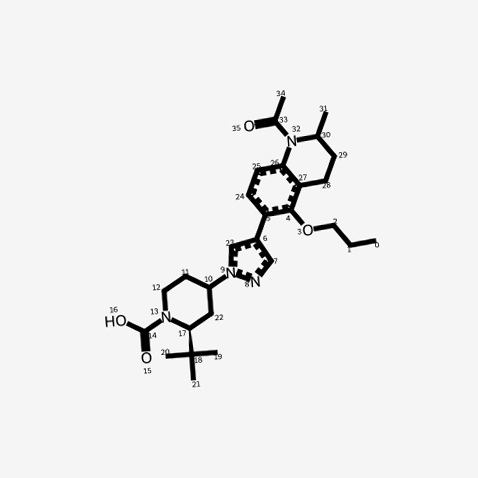 CCCOc1c(-c2cnn(C3CCN(C(=O)O)[C@H](C(C)(C)C)C3)c2)ccc2c1CCC(C)N2C(C)=O